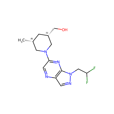 C[C@@H]1C[C@H](CO)CN(c2cnc3cnn(CC(F)F)c3n2)C1